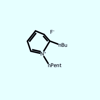 CCCCC[n+]1ccccc1CCCC.[F-]